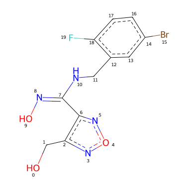 OCc1nonc1/C(=N\O)NCc1cc(Br)ccc1F